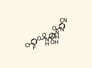 N#Cc1ccnc(C(=O)NC23CCC(NC(=O)COc4ccc(Cl)c(F)c4)(CC2)C(O)C3)c1